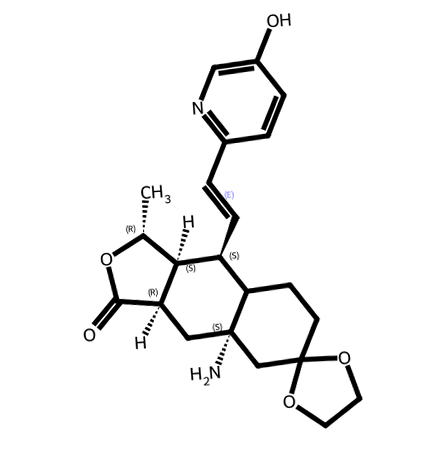 C[C@H]1OC(=O)[C@@H]2C[C@]3(N)CC4(CCC3[C@H](/C=C/c3ccc(O)cn3)[C@H]12)OCCO4